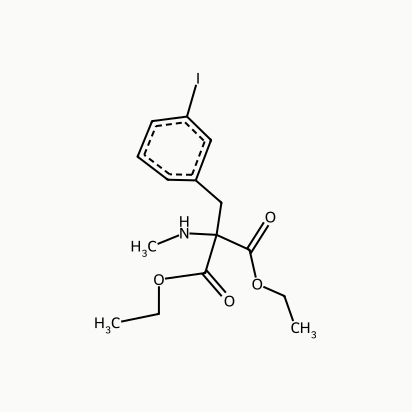 CCOC(=O)C(Cc1cccc(I)c1)(NC)C(=O)OCC